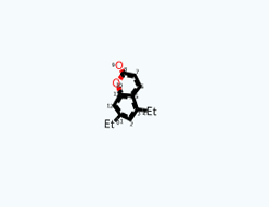 CCc1cc(CC)c2ccc(=O)oc2c1